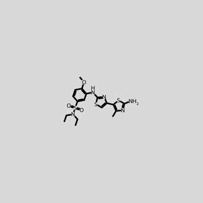 CCN(CC)S(=O)(=O)c1ccc(OC)c(Nc2nc(-c3sc(N)nc3C)cs2)c1